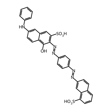 O=S(=O)(O)c1cc2cc(Nc3ccccc3)ccc2c(O)c1N=Nc1ccc(N=Nc2ccc3cccc(S(=O)(=O)O)c3c2)cc1